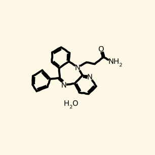 NC(=O)CCN1c2ccccc2C(c2ccccc2)=Nc2cccnc21.O